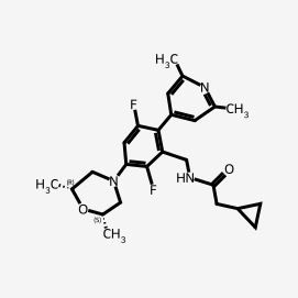 Cc1cc(-c2c(F)cc(N3C[C@@H](C)O[C@@H](C)C3)c(F)c2CNC(=O)CC2CC2)cc(C)n1